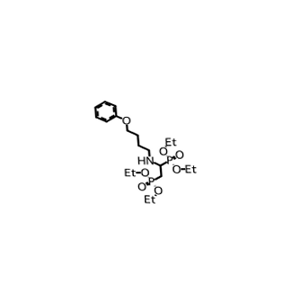 CCOP(=O)(CC(NCCCCOc1ccccc1)P(=O)(OCC)OCC)OCC